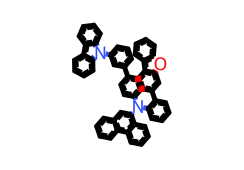 c1cc(-c2ccc(N(c3ccccc3-c3ccc4c(c3)oc3ccccc34)c3cc4ccccc4c4ccccc34)cc2)cc(-n2c3ccccc3c3ccccc32)c1